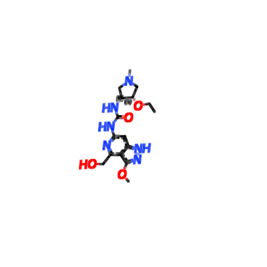 CCO[C@H]1CN(C)C[C@H]1NC(=O)Nc1cc2[nH]nc(OC)c2c(CO)n1